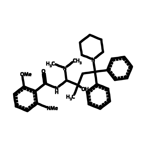 CNc1cccc(OC)c1C(=O)NC(N(C)C)C(C)(O)CC(c1ccccc1)(c1ccccc1)N1CCCCC1